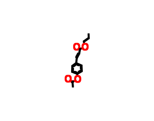 CCCOC(=O)C=Cc1ccc(OC(C)=O)cc1